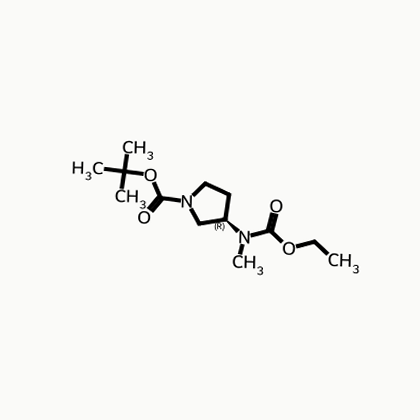 CCOC(=O)N(C)[C@@H]1CCN(C(=O)OC(C)(C)C)C1